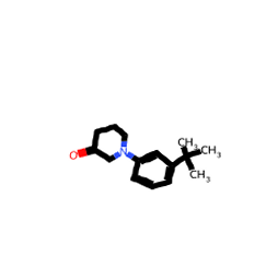 CC(C)(C)c1cccc(N2CCCC(=O)C2)c1